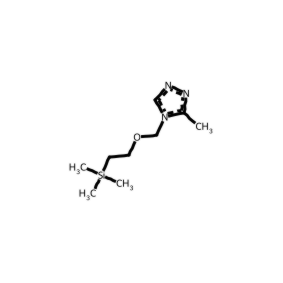 Cc1nncn1COCC[Si](C)(C)C